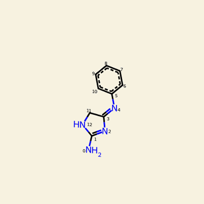 NC1=NC(=Nc2ccccc2)CN1